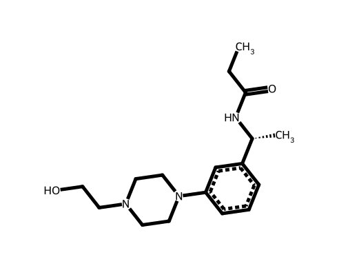 CCC(=O)N[C@H](C)c1cccc(N2CCN(CCO)CC2)c1